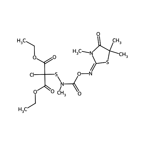 CCOC(=O)C(Cl)(SN(C)C(=O)ON=C1SC(C)(C)C(=O)N1C)C(=O)OCC